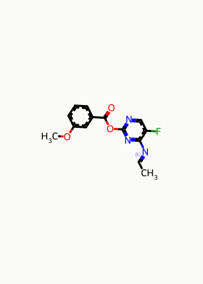 C/C=N/c1nc(OC(=O)c2cccc(OC)c2)ncc1F